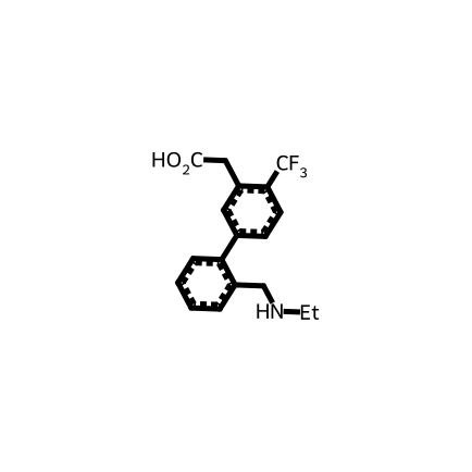 CCNCc1ccccc1-c1ccc(C(F)(F)F)c(CC(=O)O)c1